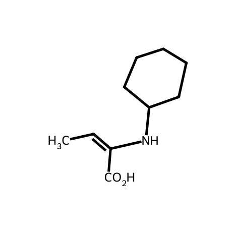 CC=C(NC1CCCCC1)C(=O)O